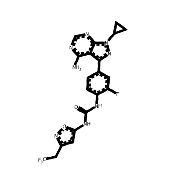 Nc1ncnc2c1c(-c1ccc(NC(=O)Nc3cc(CC(F)(F)F)no3)c(F)c1)nn2C1CC1